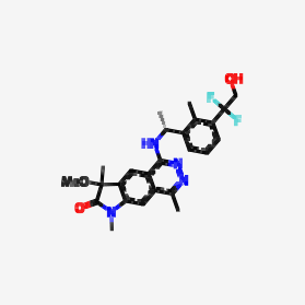 COC1(C)C(=O)N(C)c2cc3c(C)nnc(N[C@H](C)c4cccc(C(F)(F)CO)c4C)c3cc21